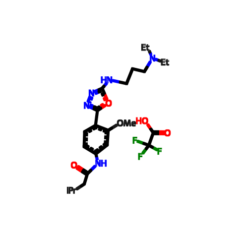 CCN(CC)CCCNc1nnc(-c2ccc(NC(=O)CC(C)C)cc2OC)o1.O=C(O)C(F)(F)F